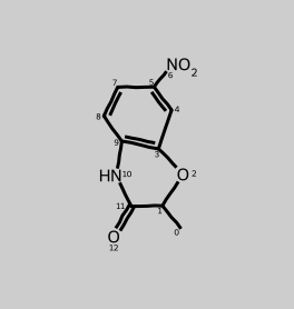 CC1Oc2cc([N+](=O)[O-])ccc2NC1=O